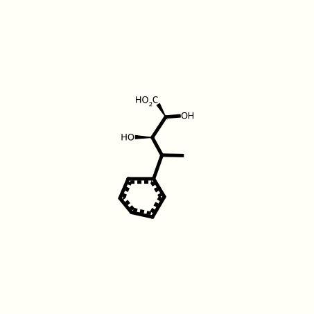 CC(c1ccccc1)[C@@H](O)[C@H](O)C(=O)O